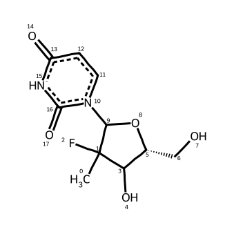 CC1(F)C(O)[C@@H](CO)OC1n1ccc(=O)[nH]c1=O